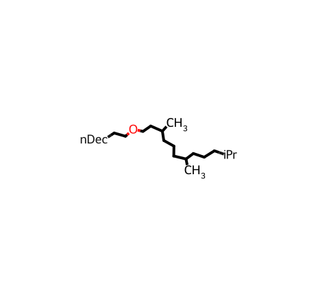 CCCCCCCCCCCCOCCC(C)CCCC(C)CCCC(C)C